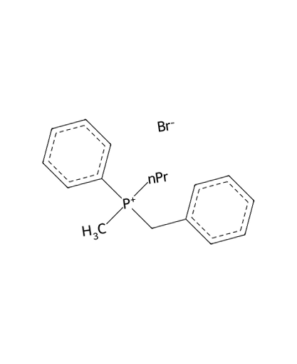 CCC[P+](C)(Cc1ccccc1)c1ccccc1.[Br-]